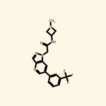 CN1CC(NC(=O)Cn2ncc3ncc(-c4cccc(C(F)(F)F)c4)cc32)C1